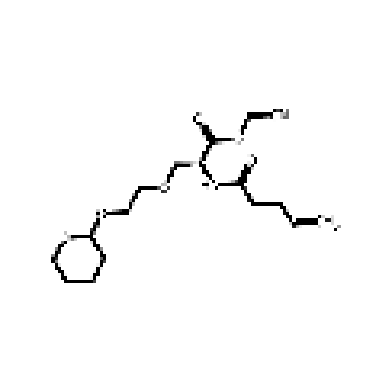 C=CCCC(=O)N[C@@H](COCCOC1CCCCO1)C(=O)OCC#N